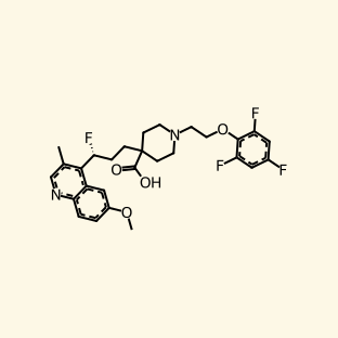 COc1ccc2ncc(C)c([C@H](F)CCC3(C(=O)O)CCN(CCOc4c(F)cc(F)cc4F)CC3)c2c1